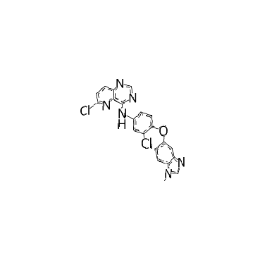 Cn1cnc2cc(Oc3ccc(Nc4ncnc5ccc(Cl)nc45)cc3Cl)ccc21